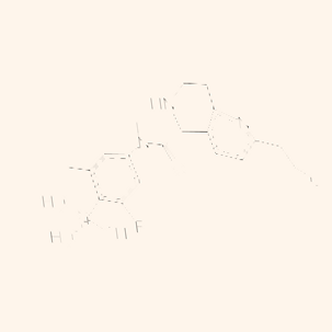 CCCc1ccc2c(n1)CCN[C@H]2C(=O)Nc1cc(F)c([Si](C)(C)C)c(F)c1